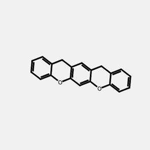 c1ccc2c(c1)Cc1cc3c(cc1O2)Oc1ccccc1C3